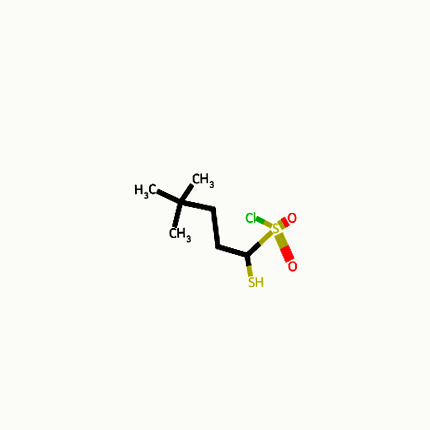 CC(C)(C)CCC(S)S(=O)(=O)Cl